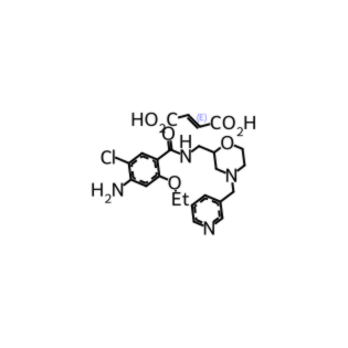 CCOc1cc(N)c(Cl)cc1C(=O)NCC1CN(Cc2cccnc2)CCO1.O=C(O)/C=C/C(=O)O